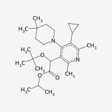 Cc1nc(C)c(C(OC(C)(C)C)C(=O)OC(C)C)c(N2CCC(C)(C)CC2)c1C1CC1